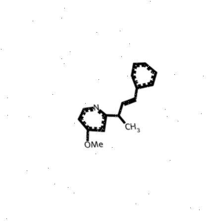 COc1ccnc(C(C)C=Cc2ccccc2)c1